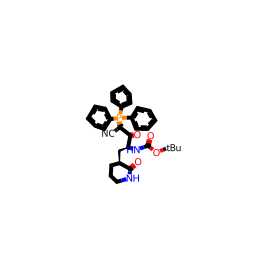 CC(C)(C)OC(=O)N[C@@H](C[C@@H]1CCCNC1=O)C(=O)C(C#N)=P(c1ccccc1)(c1ccccc1)c1ccccc1